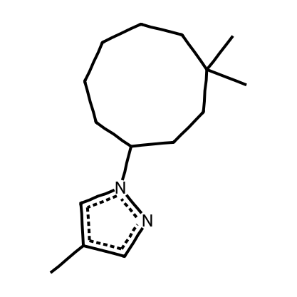 Cc1cnn(C2CCCCCC(C)(C)CC2)c1